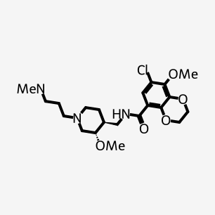 CNCCCN1CC[C@@H](CNC(=O)c2cc(Cl)c(OC)c3c2OCCO3)[C@H](OC)C1